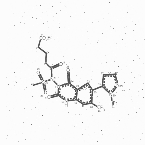 CCOC(=O)CCCC(=O)N(n1c(=O)[nH]c2cc(C(F)(F)F)c(-c3ccnn3C(C)C)cc2c1=O)S(C)(=O)=O